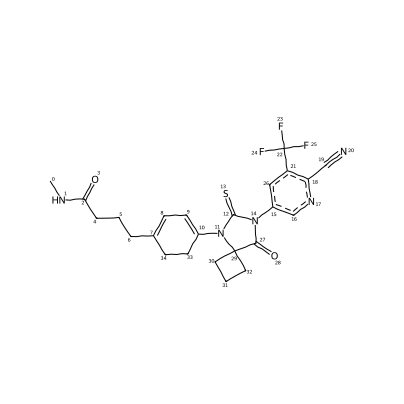 CNC(=O)CCCC1=CC=C(N2C(=S)N(c3cnc(C#N)c(C(F)(F)F)c3)C(=O)C23CCC3)CC1